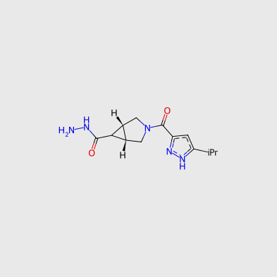 CC(C)c1cc(C(=O)N2C[C@@H]3C(C(=O)NN)[C@@H]3C2)n[nH]1